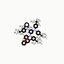 CC(C)(C)c1ccc(N(c2ccc(C(C)(C)C)cc2)c2cc3c4c(c2)N2c5c(cc(C(C)(C)C)cc5C5(C)CCCCC25C)B4c2cc4sc5ccccc5c4cc2N3c2ccc(C(C)(C)C)cc2-c2ccccc2)cc1